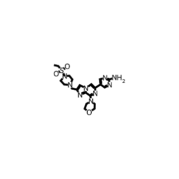 CCS(=O)(=O)N1CCN(Cc2cn3cc(-c4cnc(N)nc4)nc(N4CCOCC4)c3n2)CC1